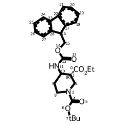 CCOC(=O)[C@@H]1CN(C(=O)OC(C)(C)C)CCC1NC(=O)OCC1c2ccccc2-c2ccccc21